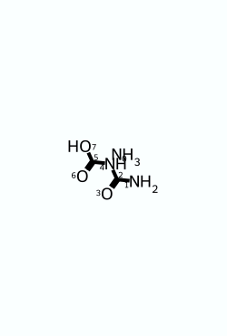 N.NC(=O)NC(=O)O